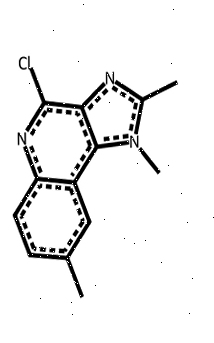 Cc1ccc2nc(Cl)c3nc(C)n(C)c3c2c1